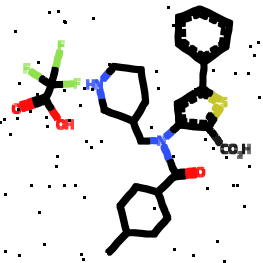 CC1CCC(C(=O)N(CC2CCCNC2)c2cc(-c3ccccc3)sc2C(=O)O)CC1.O=C(O)C(F)(F)F